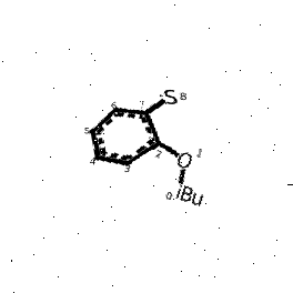 CCC(C)Oc1ccccc1[S]